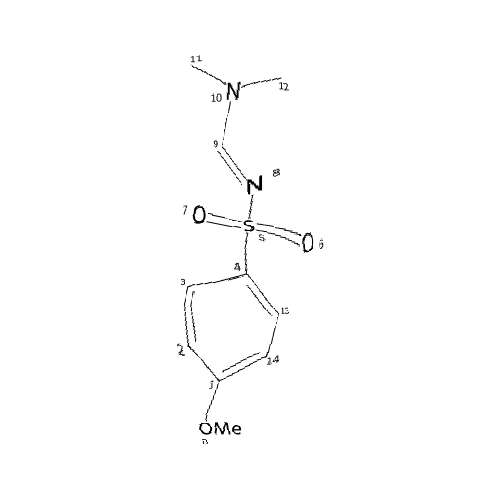 COc1ccc(S(=O)(=O)N=CN(C)C)cc1